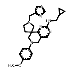 COc1ccc(N2Cc3cnc(NCC4CC4)nc3C3(CCN(Cc4cscn4)C3)C2)cc1